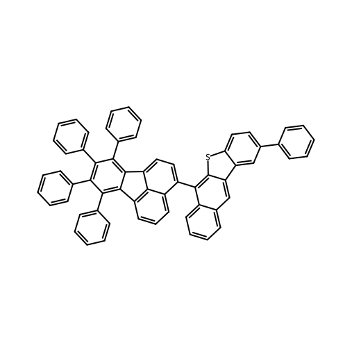 c1ccc(-c2ccc3sc4c(-c5ccc6c7c(cccc57)-c5c(-c7ccccc7)c(-c7ccccc7)c(-c7ccccc7)c(-c7ccccc7)c5-6)c5ccccc5cc4c3c2)cc1